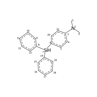 CN(C)c1ccc([SiH](c2ccccc2)c2ccccc2)cc1